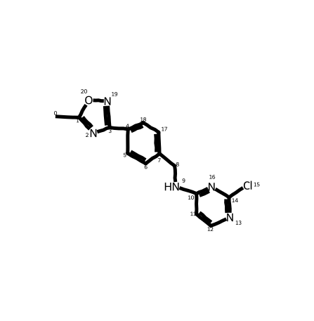 Cc1nc(-c2ccc(CNc3ccnc(Cl)n3)cc2)no1